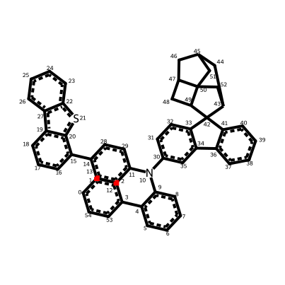 c1ccc(-c2ccccc2N(c2ccc(-c3cccc4c3sc3ccccc34)cc2)c2ccc3c(c2)-c2ccccc2C32C3CC4CC5CC2C5(C4)C3)cc1